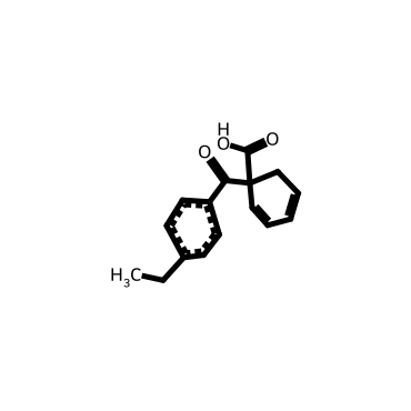 CCc1ccc(C(=O)C2(C(=O)O)C=CC=CC2)cc1